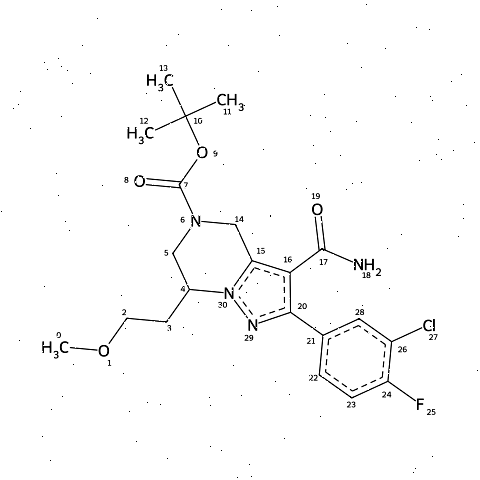 COCCC1CN(C(=O)OC(C)(C)C)Cc2c(C(N)=O)c(-c3ccc(F)c(Cl)c3)nn21